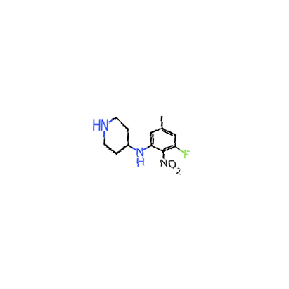 Cc1cc(F)c([N+](=O)[O-])c(NC2CCNCC2)c1